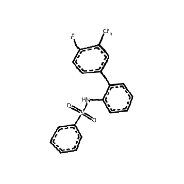 O=S(=O)(Nc1ccccc1-c1ccc(F)c(C(F)(F)F)c1)c1ccccc1